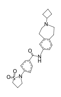 O=C(Nc1ccc2c(c1)CCN(C1CCC1)CC2)c1ccc(N2CCCS2(=O)=O)cc1